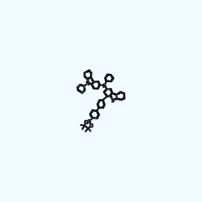 CC1(C)OB(c2ccc(-c3ccc(-c4cc(N(c5ccccc5)c5ccc6c(c5)c5ccccc5n6-c5ccccc5)cc5c4sc4ccccc45)cc3)cc2)OC1(C)C